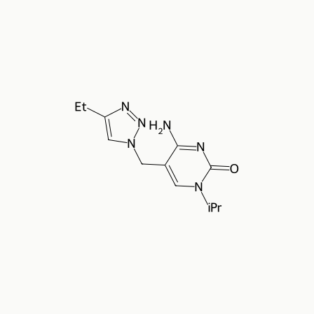 CCc1cn(Cc2cn(C(C)C)c(=O)nc2N)nn1